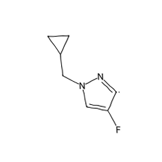 Fc1[c]nn(CC2CC2)c1